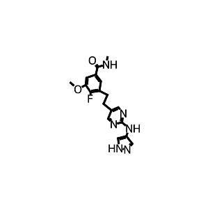 CNC(=O)c1cc(CCc2cnc(Nc3cn[nH]c3)nc2)c(F)c(OC)c1